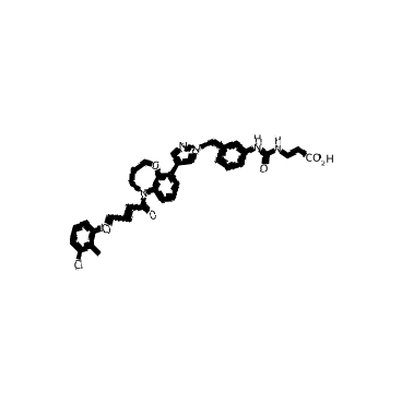 Cc1c(Cl)cccc1OCCCC(=O)N1CCCOc2c(-c3cnn(Cc4cccc(NC(=O)NCCC(=O)O)c4)c3)cccc21